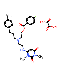 Cn1c(NCCN(CCCc2ccc([N+](=O)[O-])cc2)CCOC(=O)c2ccc(F)cc2)cc(=O)n(C)c1=O.O=C(O)C(=O)O